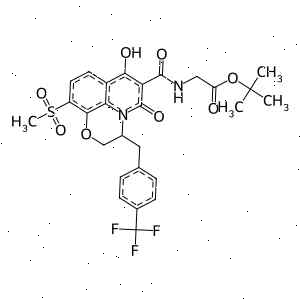 CC(C)(C)OC(=O)CNC(=O)c1c(O)c2ccc(S(C)(=O)=O)c3c2n(c1=O)C(Cc1ccc(C(F)(F)F)cc1)CO3